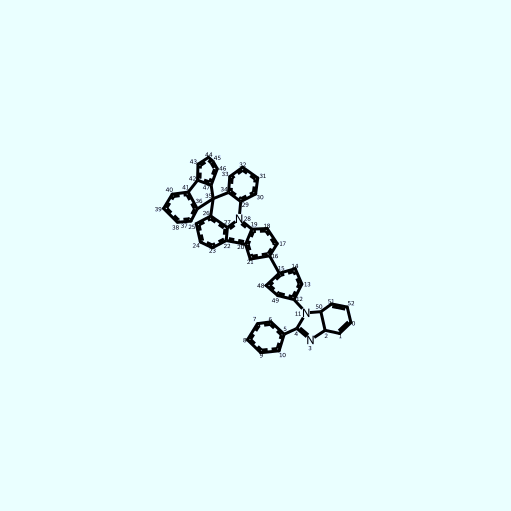 C1=CC2N=C(c3ccccc3)N(c3ccc(-c4ccc5c(c4)c4cccc6c4n5-c4ccccc4C64c5ccccc5-c5ccccc54)cc3)C2C=C1